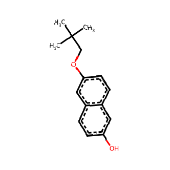 CC(C)(C)COc1ccc2cc(O)ccc2c1